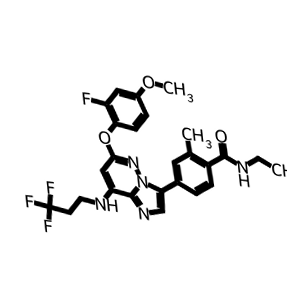 CCNC(=O)c1ccc(-c2cnc3c(NCCC(F)(F)F)cc(Oc4ccc(OC)cc4F)nn23)cc1C